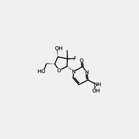 CC1(F)[C@@H](O)[C@@H](CO)O[C@H]1n1ccc(NO)nc1=O